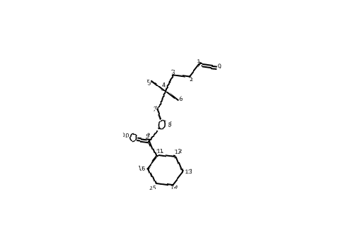 C=CCCC(C)(C)COC(=O)C1CCCCC1